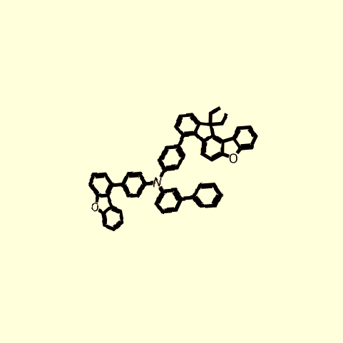 CCC1(CC)c2cccc(-c3ccc(N(c4ccc(-c5cccc6oc7ccccc7c56)cc4)c4cccc(-c5ccccc5)c4)cc3)c2-c2ccc3oc4ccccc4c3c21